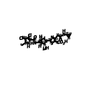 Cc1[nH]c(C(=O)NC2[C@H]3CN(c4nc(CC(=O)NC5CC5)c(C(=O)O)s4)C[C@@H]23)c(Cl)c1Cl.[LiH]